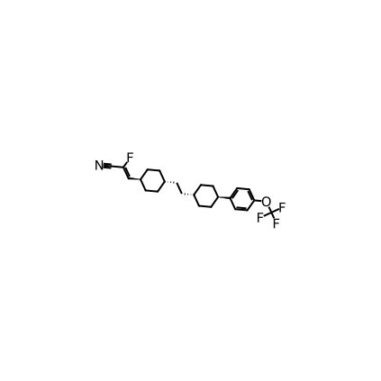 N#CC(F)=C[C@H]1CC[C@H](CC[C@H]2CC[C@H](c3ccc(OC(F)(F)F)cc3)CC2)CC1